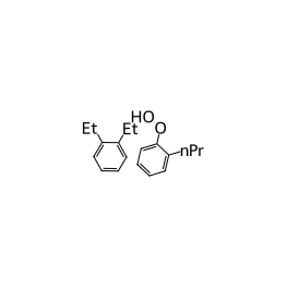 CCCc1ccccc1OO.CCc1ccccc1CC